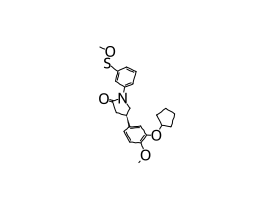 COSc1cccc(N2C[C@@H](c3ccc(OC)c(OC4CCCC4)c3)CC2=O)c1